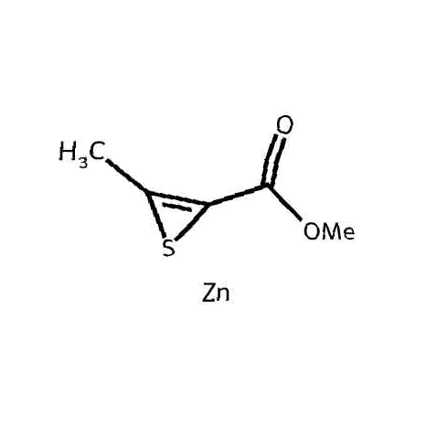 COC(=O)C1=C(C)S1.[Zn]